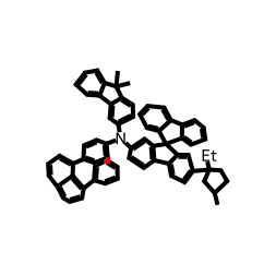 CCC1(c2ccc3c(c2)C2(c4ccccc4-c4ccccc42)c2cc(N(c4ccc(-c5cccc6cccc(-c7ccccc7)c56)cc4)c4ccc5c(c4)-c4ccccc4C5(C)C)ccc2-3)CCC(C)C1